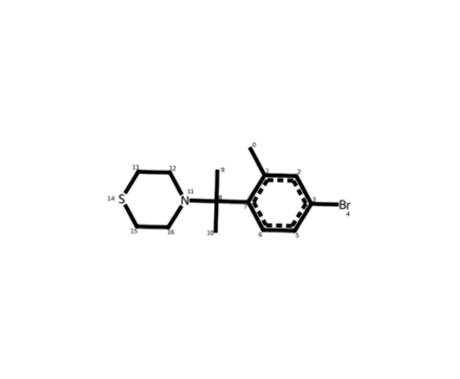 Cc1cc(Br)ccc1C(C)(C)N1CCSCC1